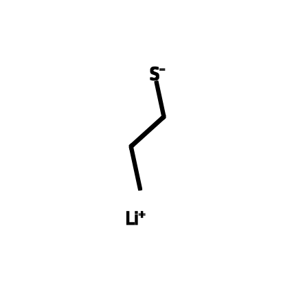 CCC[S-].[Li+]